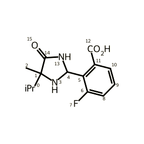 CC(C)C1(C)NC(c2c(F)cccc2C(=O)O)NC1=O